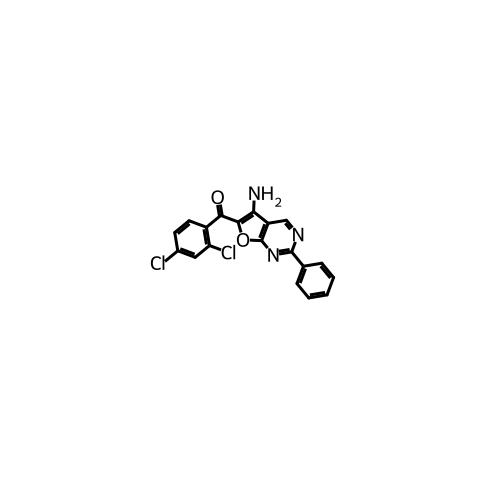 Nc1c(C(=O)c2ccc(Cl)cc2Cl)oc2nc(-c3ccccc3)ncc12